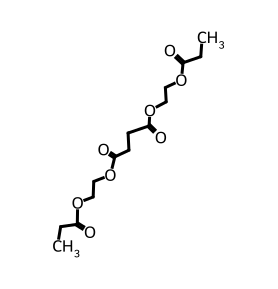 CCC(=O)OCCOC(=O)CCC(=O)OCCOC(=O)CC